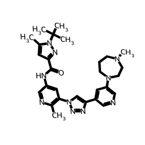 Cc1ncc(NC(=O)c2cc(C)n(C(C)(C)C)n2)cc1-n1cc(-c2cncc(N3CCCN(C)CC3)c2)nn1